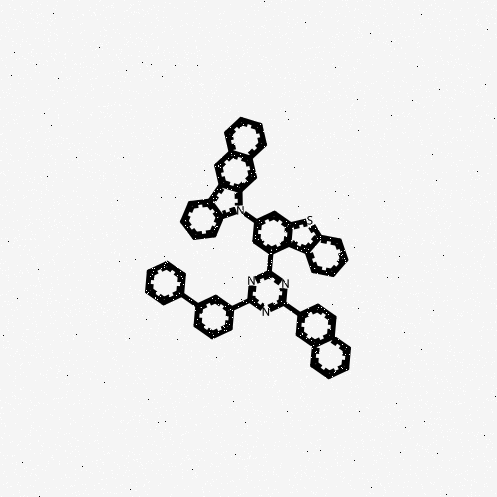 c1ccc(-c2cccc(-c3nc(-c4ccc5ccccc5c4)nc(-c4cc(-n5c6ccccc6c6cc7ccccc7cc65)cc5sc6ccccc6c45)n3)c2)cc1